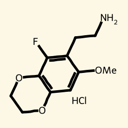 COc1cc2c(c(F)c1CCN)OCCO2.Cl